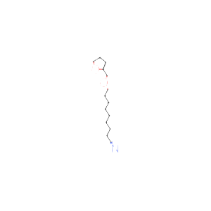 N#CCCCCCCCCOCC1CCCO1